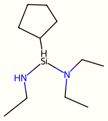 CCN[SiH](C1CCCC1)N(CC)CC